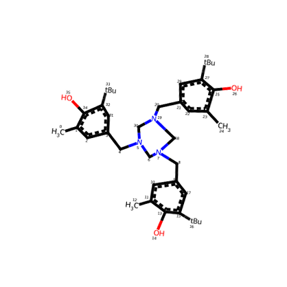 Cc1cc(CN2CN(Cc3cc(C)c(O)c(C(C)(C)C)c3)CN(Cc3cc(C)c(O)c(C(C)(C)C)c3)C2)cc(C(C)(C)C)c1O